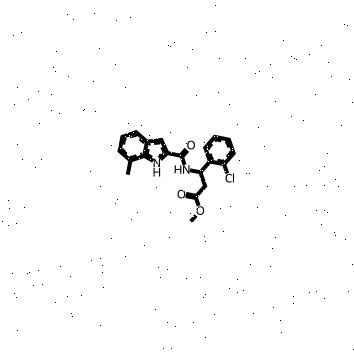 COC(=O)CC(NC(=O)c1cc2cccc(C)c2[nH]1)c1ccccc1Cl